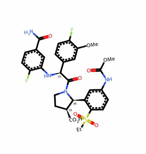 CCS(=O)(=O)c1ccc(NC(=O)OC)cc1[C@H]1[C@@H](C(=O)O)CCN1C(=O)[C@@H](Nc1cc(C(N)=O)ccc1F)c1ccc(F)c(OC)c1